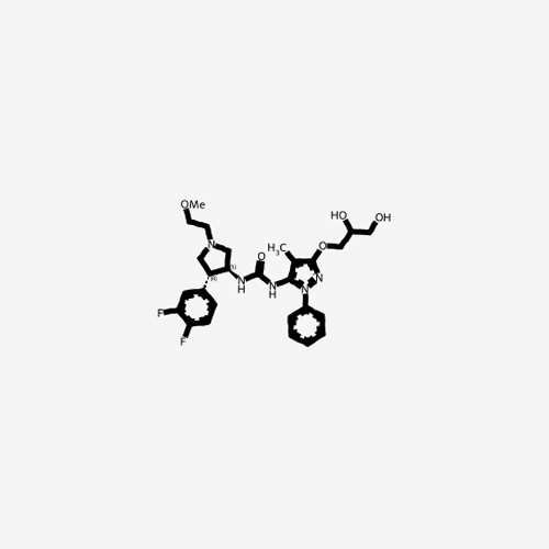 COCCN1C[C@@H](NC(=O)Nc2c(C)c(OCC(O)CO)nn2-c2ccccc2)[C@H](c2ccc(F)c(F)c2)C1